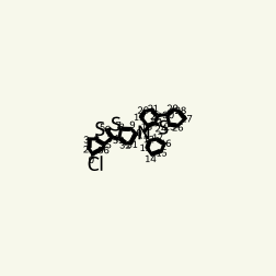 Clc1ccc2sc3sc4cc(N(c5ccccc5)c5cccc6c5sc5ccccc56)ccc4c3c2c1